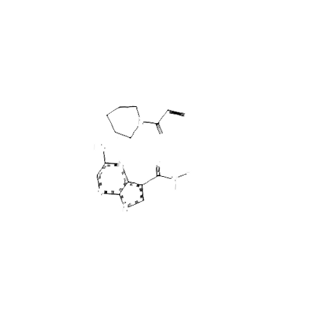 C=CC(=O)N1C[C@H](Nc2cnc3[nH]cc(C(=O)NCC)c3n2)CC[C@@H]1C